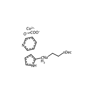 CCCCCCCCCCC[CH2][Na].Cc1ccc[nH]1.O=C([O-])[O-].[Co+2].c1ccncc1